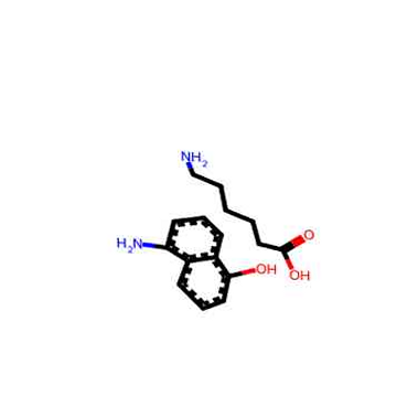 NCCCCCC(=O)O.Nc1cccc2c(O)cccc12